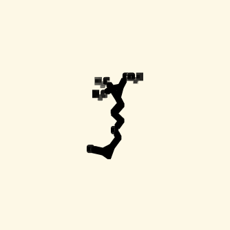 CC1(C)C(C=CCOCC2CC2=O)C1C(=O)O